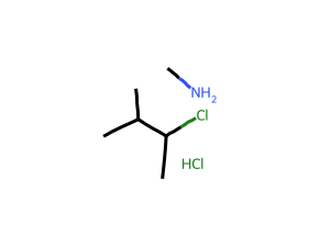 CC(C)C(C)Cl.CN.Cl